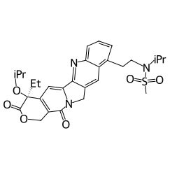 CC[C@@]1(OC(C)C)C(=O)OCc2c1cc1n(c2=O)Cc2cc3c(CCN(C(C)C)S(C)(=O)=O)cccc3nc2-1